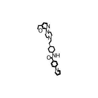 O=C(N[C@H]1CC[C@H](CCN2CCN(c3nccc4c3OCC4)CC2)CC1)c1ccc(-n2cccc2)cc1